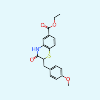 CCOC(=O)c1ccc2c(c1)NC(=O)C(Cc1ccc(OC)cc1)S2